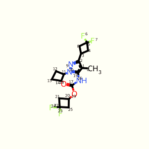 Cc1c(C2CC(F)(F)C2)nn(C2CCC2)c1NC(=O)OC1CC(F)(F)C1